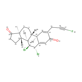 C[C@]12CC[C@H]3[C@@H]([C@H](Br)[C@@H](Br)C4=CC(=O)C(CC#CF)=C[C@@H]43)[C@@H]1CCC2=O